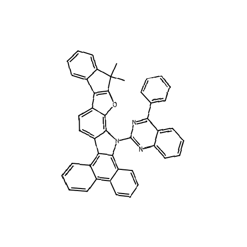 CC1(C)c2ccccc2-c2c1oc1c2ccc2c3c4ccccc4c4ccccc4c3n(-c3nc(-c4ccccc4)c4ccccc4n3)c21